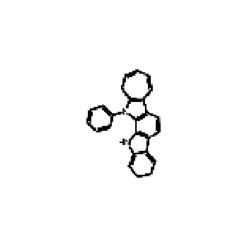 C1=CCc2c(c3ccc4c5c([nH]c4c3n2-c2ccccc2)=CCCC=5)C=C1